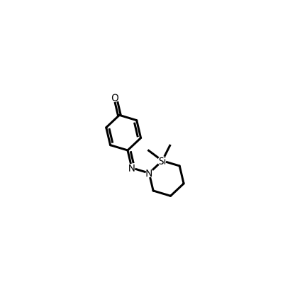 C[Si]1(C)CCCCN1N=C1C=CC(=O)C=C1